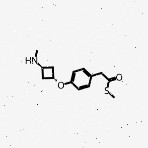 CN[C@H]1C[C@H](Oc2ccc(CC(=O)SC)cc2)C1